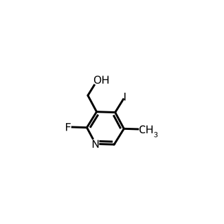 Cc1cnc(F)c(CO)c1I